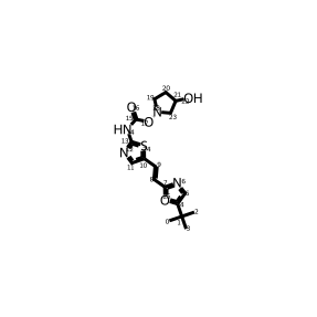 CC(C)(C)c1cnc(/C=C/c2cnc(NC(=O)ON3CCC(O)C3)s2)o1